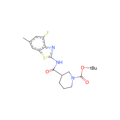 Cc1cc(F)c2nc(NC(=O)C3CCCN(C(=O)OC(C)(C)C)C3)sc2c1